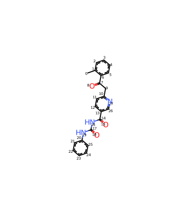 Cc1ccccc1C(=O)Cc1ccc(C(=O)NC(=O)Nc2ccccc2)cn1